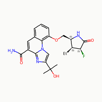 CC[C@@H]1[C@H](F)C(=O)N[C@@H]1COc1cccc2cc(C(N)=O)c3nc(C(C)(C)O)cn3c12